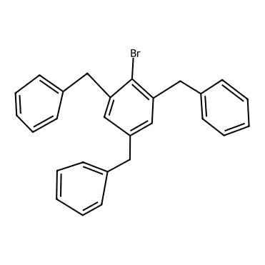 Brc1c(Cc2ccccc2)cc(Cc2ccccc2)cc1Cc1ccccc1